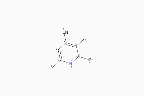 Cc1cc(C#N)c(C)c(C(C)C)n1